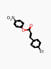 CCc1ccc(C=CC(=O)Oc2ccc([N+](=O)[O-])cc2)cc1